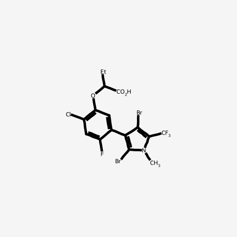 CCC(Oc1cc(-c2c(Br)c(C(F)(F)F)n(C)c2Br)c(F)cc1Cl)C(=O)O